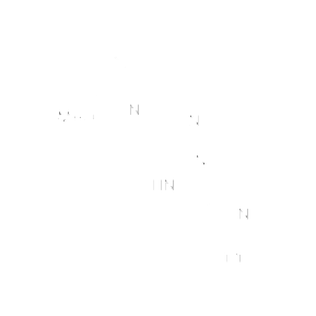 COc1ccccc1N1CCc2c(ncnc2Nc2ccc(C(C)C)c(N(C)C)c2)C1